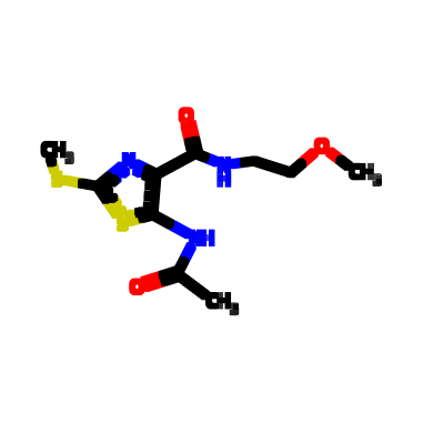 COCCNC(=O)c1nc(SC)sc1NC(C)=O